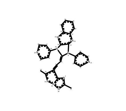 Cc1nc2/c(=C\C=C3N(c4ccncc4)c4nc5ccccc5nc4N3c3ccncc3)c(C)nn2n1